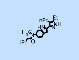 CCCc1c(-c2cc3c([nH]2)CC(N(C)C(=O)CC(C)C)C=C3)n[nH]c1CC